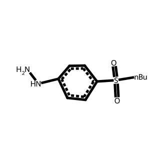 CCCCS(=O)(=O)c1ccc(NN)cc1